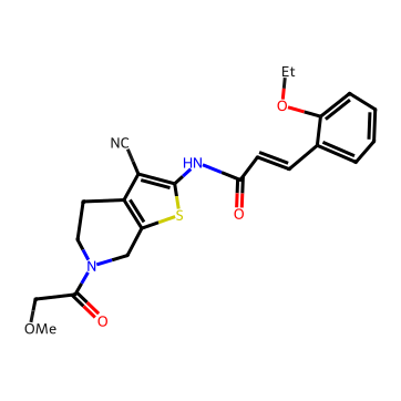 CCOc1ccccc1/C=C/C(=O)Nc1sc2c(c1C#N)CCN(C(=O)COC)C2